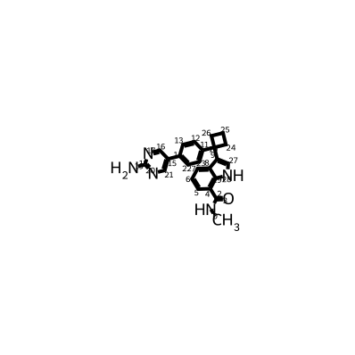 CNC(=O)c1cccc2c(C3(c4ccc(-c5cnc(N)nc5)cc4)CCC3)c[nH]c12